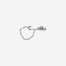 C[CH]CCC1CCCCCCC1